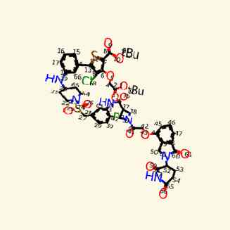 CC(C)(C)OC(=O)COc1c(C(=O)OC(C)(C)C)sc(-c2cccc(NC3CCN(S(=O)(=O)Cc4ccc(F)c(NC(=O)C5CN(C(=O)COc6cccc7c6CN(C6CCC(=O)NC6=O)C7=O)C5)c4)CC3)c2)c1Cl